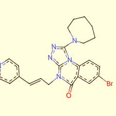 O=c1c2cc(Br)ccc2n2c(N3CCCCCC3)nnc2n1CC=Cc1ccncc1